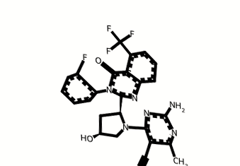 Cc1nc(N)nc(N2C[C@@H](O)C[C@H]2c2nc3cccc(C(F)(F)F)c3c(=O)n2-c2ccccc2F)c1C#N